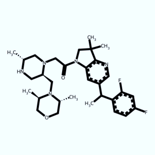 CC(c1cnc2c(c1)N(C(=O)CN1C[C@@H](C)NC[C@@H]1CN1[C@H](C)COC[C@H]1C)CC2(C)C)c1ccc(F)cc1F